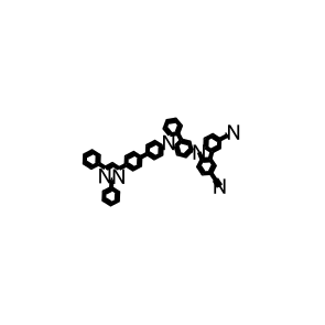 N#Cc1ccc2c(c1)c1cc(C#N)ccc1n2-c1ccc2c(c1)c1ccccc1n2-c1ccc(-c2ccc(-c3cc(-c4ccccc4)nc(-c4ccccc4)n3)cc2)cc1